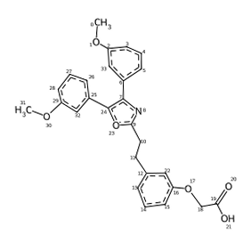 COc1cccc(-c2nc(CCc3cccc(OCC(=O)O)c3)oc2-c2cccc(OC)c2)c1